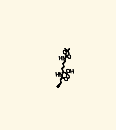 C#CCCC(=O)NC(CCCCNC(=O)OC(C)(C)C)C(=O)O